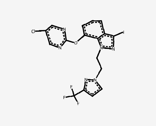 FC(F)(F)c1ccn(CCn2nc(I)c3cccc(Oc4ncc(Cl)cn4)c32)n1